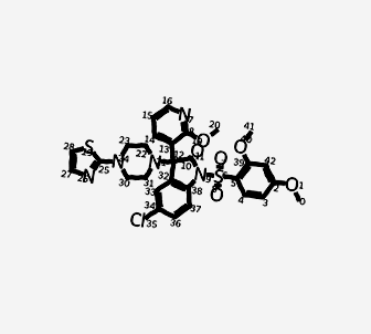 COc1ccc(S(=O)(=O)N2C(=O)C(c3cccnc3OC)(N3CCN(c4nccs4)CC3)c3cc(Cl)ccc32)c(OC)c1